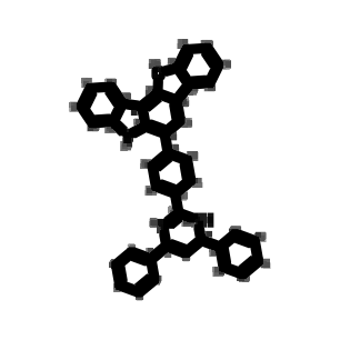 C1=C(c2ccccc2)N=C(c2ccc(-c3cc4c5ccccc5oc4c4c3sc3ccccc34)cc2)NC1c1ccccc1